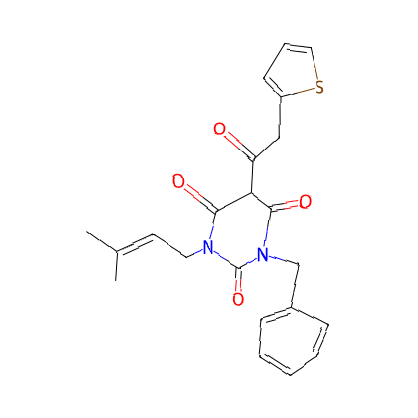 CC(C)=CCN1C(=O)C(C(=O)Cc2cccs2)C(=O)N(Cc2ccccc2)C1=O